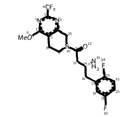 COc1nc(C(F)(F)F)nc2c1CCN(C(=O)C[C@H](N)Cc1cc(F)ccc1F)C2